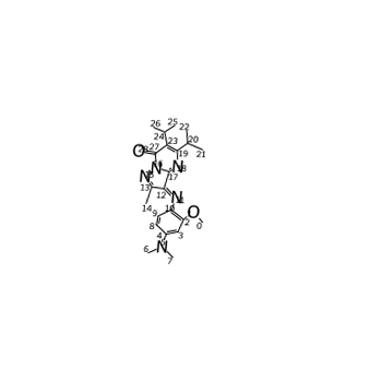 COc1cc(N(C)C)ccc1N=C1C(C)=Nn2c1nc(C(C)C)c(C(C)C)c2=O